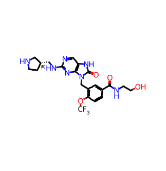 O=C(NCCO)c1ccc(OC(F)(F)F)c(Cn2c(=O)[nH]c3cnc(NC[C@@H]4CCNC4)nc32)c1